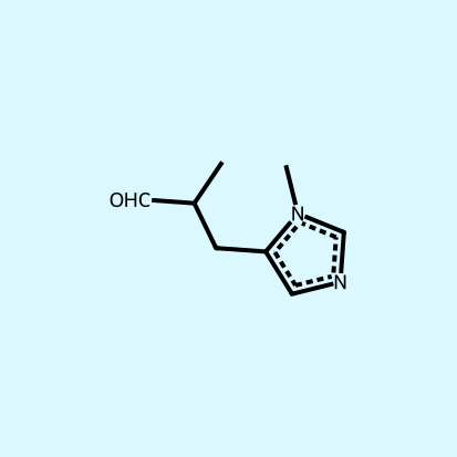 CC(C=O)Cc1cncn1C